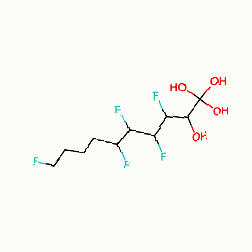 OC(C(F)C(F)C(F)C(F)CCCCF)C(O)(O)O